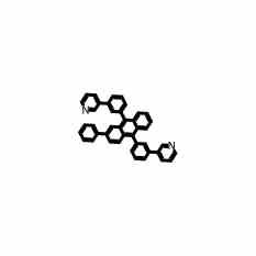 c1ccc(-c2ccc3c(-c4cccc(-c5cccnc5)c4)c4ccccc4c(-c4cccc(-c5cccnc5)c4)c3c2)cc1